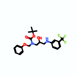 CC(C)(C)OC(=O)N(COc1ccccc1)CC(O)CNc1cccc(C(F)(F)F)c1